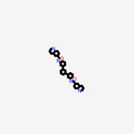 c1cc(-c2ccc3oc(-c4ccc5ncccc5c4)nc3c2)cc(-c2ccc3oc(-c4ccc5ncccc5c4)nc3c2)c1